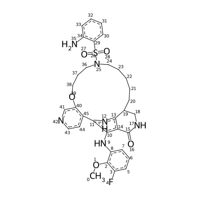 COc1c(F)cccc1Nc1c2[nH]c3c1C(=O)NCC3CCCCCN(S(=O)(=O)c1ccccc1N)CCCOc1cnccc1-2